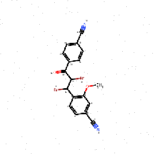 COc1cc(C#N)ccc1C(Br)C(Br)C(=O)c1ccc(C#N)cc1